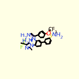 Cc1nc(C(C)(F)F)cn1-c1ccc(-c2cccc(SN)c2)cc1N(N)/C(=C\N)c1ccc(OC(F)(F)F)cc1